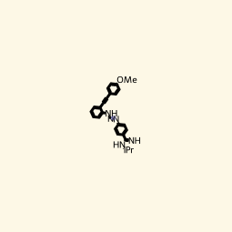 COc1ccc(C#Cc2ccccc2N/N=N/c2ccc(C(=N)NC(C)C)cc2)cc1